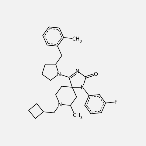 Cc1ccccc1CC1CCCN1C1=NC(=O)N(c2cccc(F)c2)C12CCN(CC1CCC1)C(C)C2